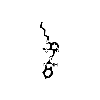 CCCCCSc1ccnc(CSc2nc3ccccc3[nH]2)c1OC